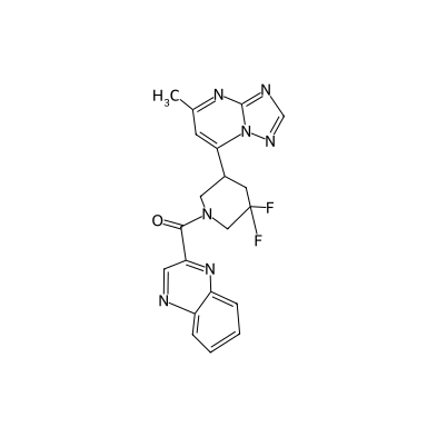 Cc1cc(C2CN(C(=O)c3cnc4ccccc4n3)CC(F)(F)C2)n2ncnc2n1